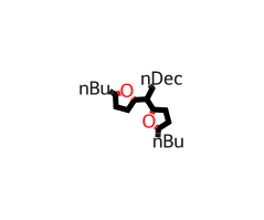 CCCCCCCCCCCC(C1CCC(CCCC)O1)C1CCC(CCCC)O1